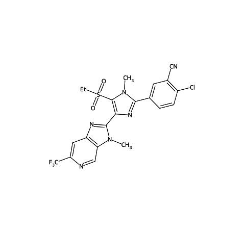 CCS(=O)(=O)c1c(-c2nc3cc(C(F)(F)F)ncc3n2C)nc(-c2ccc(Cl)c(C#N)c2)n1C